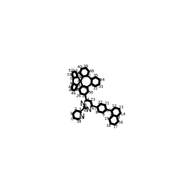 c1ccc(-c2nc(-c3ccc(-c4cccc5ccccc45)cc3)cc(-c3ccc4c(c3)-c3ccccc3-c3ccccc3C43c4ccccc4-c4ccccc43)n2)nc1